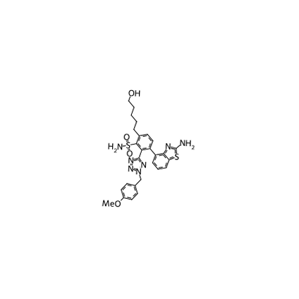 COc1ccc(Cn2nnc(-c3c(-c4cccc5sc(N)nc45)ccc(CCCCCO)c3S(N)(=O)=O)n2)cc1